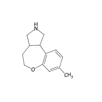 Cc1ccc2c(c1)OCCC1CNCC21